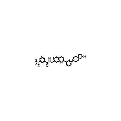 CS(=O)(=O)c1cncc(C(=O)NCc2cc3nc(-c4cccc(N5CCC6(CCNC6)CC5)n4)ccc3cn2)c1